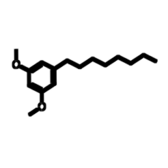 CCCCCCCCc1cc(OC)cc(OC)c1